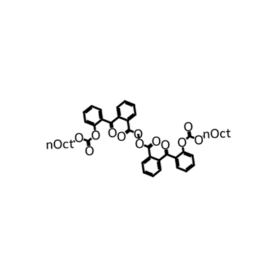 CCCCCCCCOC(=O)Oc1ccccc1C(=O)c1ccccc1C(=O)OOC(=O)c1ccccc1C(=O)c1ccccc1OC(=O)OCCCCCCCC